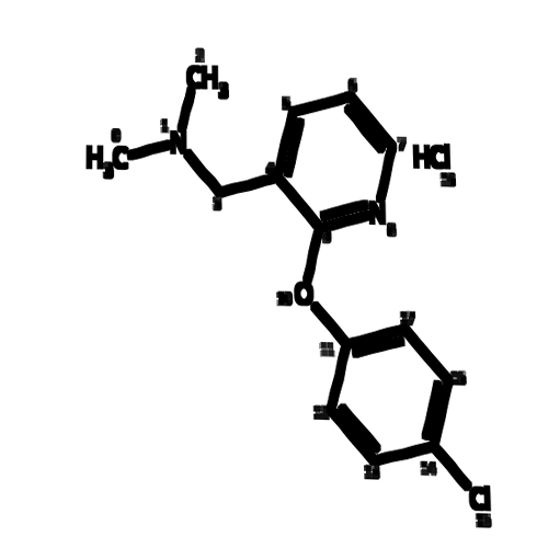 CN(C)Cc1cccnc1Oc1ccc(Cl)cc1.Cl